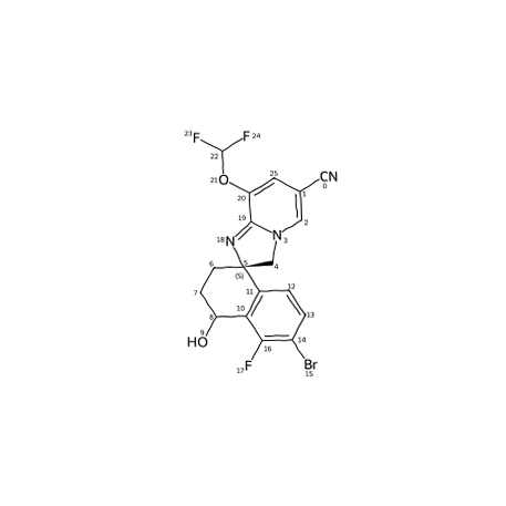 N#CC1=CN2C[C@@]3(CCC(O)c4c3ccc(Br)c4F)N=C2C(OC(F)F)=C1